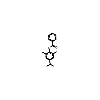 Cc1cc(C(C)C)cc(C)c1OC(=O)c1ccccc1